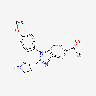 CCOc1ccc(-n2c(-c3cc[nH]n3)nc3cc(C(=O)CC)ccc32)cc1